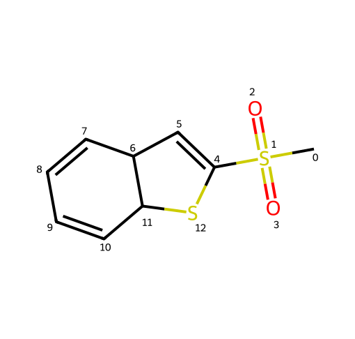 CS(=O)(=O)C1=CC2C=CC=CC2S1